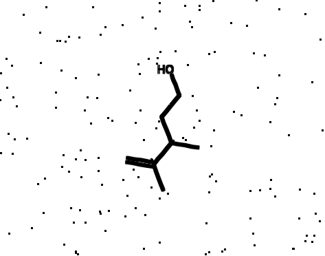 C=C(C)C(C)CCO